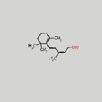 CC1=C(/C=C/C(C)=C\CO)C(C)(C)CCC1